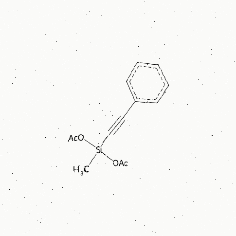 CC(=O)O[Si](C)(C#Cc1ccccc1)OC(C)=O